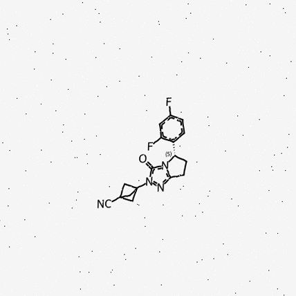 N#CC12CC(n3nc4n(c3=O)[C@H](c3ccc(F)cc3F)CC4)(C1)C2